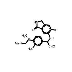 CNC[C@H](C)c1ccc(C(C=O)Nc2cc3c(cc2F)CNC3=O)cc1C